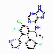 CC(Nc1ncnc2[nH]cnc12)c1cc(Cl)c(F)c(-c2cncnc2)c1-c1cccc(F)c1